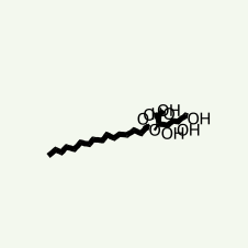 CCCCCCCCCCCCCCCC(=O)O[C@@H](C(=O)O)[C@@H](O)[C@@H](O)[C@H](O)CO